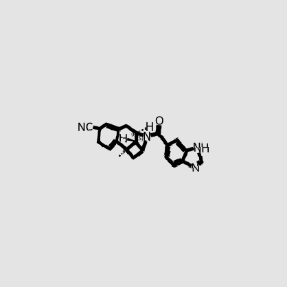 C[C@@]12CC3[C@H]1[C@@H](CC1=CC(C#N)CC=C12)N3C(=O)c1ccc2nc[nH]c2c1